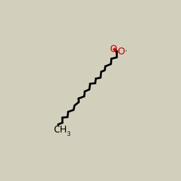 CCCCCCCCCCCCCCCCCCCCCCCC([O])=O